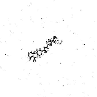 Cc1cccc2c1C(=O)CC1(CCN(c3cc(-c4nnn(C(C(=O)O)C(C)(C)C)n4)on3)CC1)O2